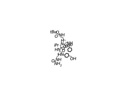 CC(C)[C@H](NC(=O)[C@H](CCCCNC(=O)OC(C)(C)C)NS(=O)(=O)c1ccccc1)C(=O)N[C@@H](CCCNC(N)=O)C(=O)Nc1ccc(CO)cc1